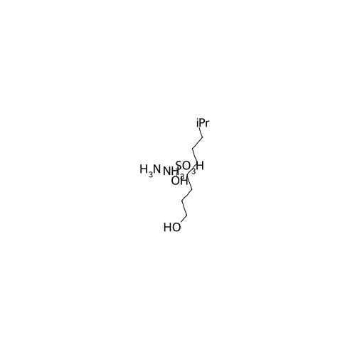 CC(C)CCCCCCCO.N.N.O=S(=O)(O)O